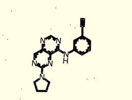 C#Cc1cccc(Nc2ncnc3cnc(N4CCCC4)nc23)c1